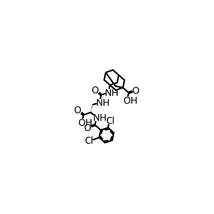 O=C(NC[C@H](NC(=O)c1c(Cl)cccc1Cl)C(=O)O)NC12CC3CC(C1)CC(C(=O)O)(C3)C2